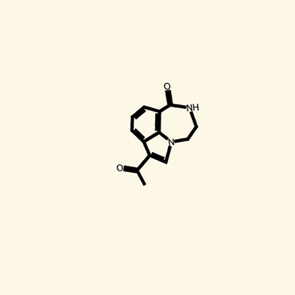 CC(=O)c1cn2c3c(cccc13)C(=O)NCC2